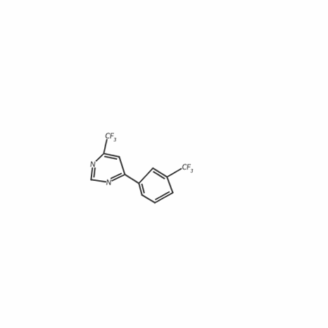 FC(F)(F)c1cccc(-c2cc(C(F)(F)F)ncn2)c1